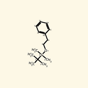 CC(C)(C)[Si](C)(C)OC[CH]c1ccccc1